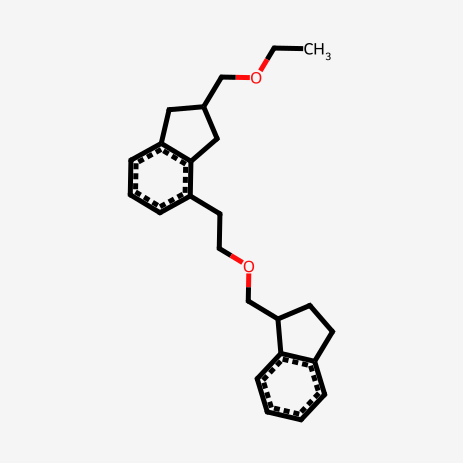 CCOCC1Cc2cccc(CCOCC3CCc4ccccc43)c2C1